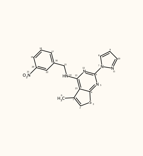 Cc1csc2nc(-n3cccn3)nc(NCc3cccc([N+](=O)[O-])c3)c12